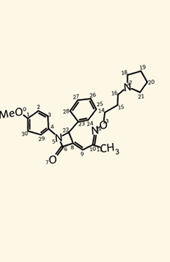 COc1ccc(N2C(=O)/C(=C/C(C)=NOCCCN3CCCC3)C2c2ccccc2)cc1